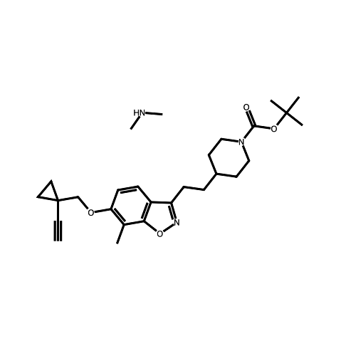 C#CC1(COc2ccc3c(CCC4CCN(C(=O)OC(C)(C)C)CC4)noc3c2C)CC1.CNC